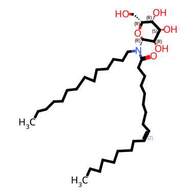 CCCCCCCC/C=C\CCCCCCCC(=O)N(CCCCCCCCCCCCCC)[C@@H]1O[C@H](CO)[C@H](O)[C@H](O)[C@H]1O